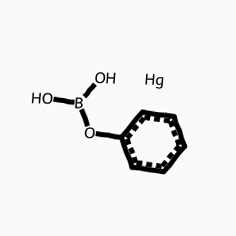 OB(O)Oc1ccccc1.[Hg]